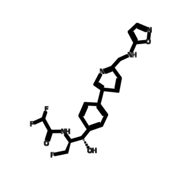 O=C(N[C@H](CF)[C@@H](O)c1ccc(-c2ccc(CNc3ccno3)nc2)cc1)C(F)F